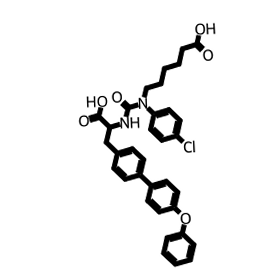 O=C(O)CCCCCN(C(=O)NC(Cc1ccc(-c2ccc(Oc3ccccc3)cc2)cc1)C(=O)O)c1ccc(Cl)cc1